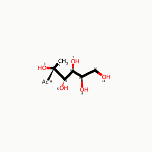 CC(=O)[C@](C)(O)[C@@H](O)[C@@H](O)[C@H](O)CO